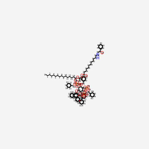 CCCCCCCCCCCCCCCC(=O)O[C@H](COC(=O)CCCCCCCCCCCNCC(=O)c1ccccc1)COP(=O)(OCc1ccccc1)OC1C(OCc2ccccc2)[C@@H](OP(=O)(OCc2ccccc2)OCc2ccccc2)C(OP(=O)(OCc2ccccc2)OCc2ccccc2)[C@H](OCc2ccccc2)[C@H]1OCc1ccccc1